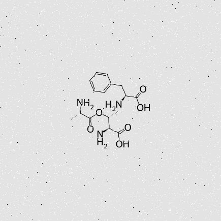 C[C@H](N)C(=O)O[C@H](C)[C@H](N)C(=O)O.N[C@@H](Cc1ccccc1)C(=O)O